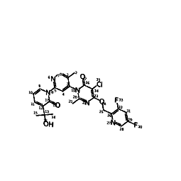 C=C(C)/C(=C\C(=N/C)n1cccc(C(C)(C)O)c1=O)n1c(C)nc(OCc2ncc(F)cc2F)c(Cl)c1=O